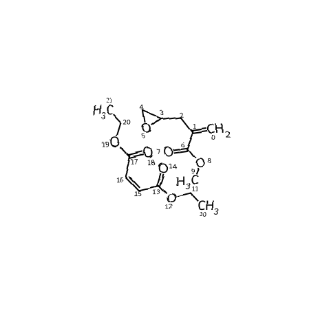 C=C(CC1CO1)C(=O)OC.CCOC(=O)/C=C\C(=O)OCC